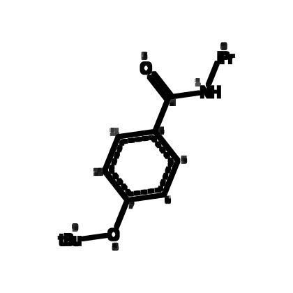 CC(C)NC(=O)c1ccc(OC(C)(C)C)cc1